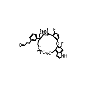 COCC1(c2cccc(CCC=O)c2)CCCC(C)(C)CSCCc2c(c(F)cc3[nH]ccc23)Oc2ccc(F)c(c2)-c2nc1nn2C